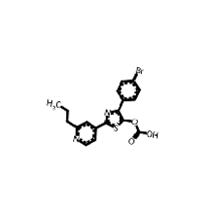 CCCc1cc(-c2nc(-c3ccc(Br)cc3)c(OC(=O)O)s2)ccn1